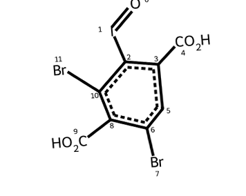 O=Ic1c(C(=O)O)cc(Br)c(C(=O)O)c1Br